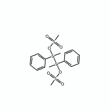 C[Si](OS(C)(=O)=O)(c1ccccc1)[Si](C)(OS(C)(=O)=O)c1ccccc1